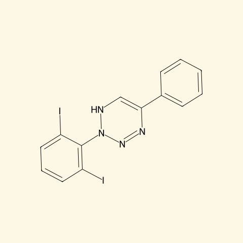 Ic1cccc(I)c1N1N=NC(c2ccccc2)=CN1